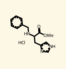 COC(=O)C(Cc1c[nH]cn1)NCc1ccccc1.Cl